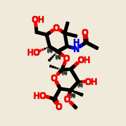 CO[C@]1(C)C(C(=O)O)O[C@@](C)(O[C@]2(C)C(NC(C)=O)C(C)(C)OC(CO)[C@H]2O)C(O)[C@H]1O